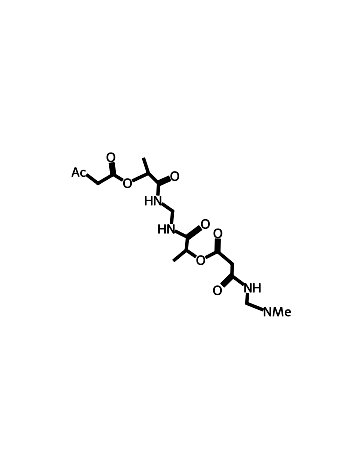 CNCNC(=O)CC(=O)OC(C)C(=O)NCNC(=O)C(C)OC(=O)CC(C)=O